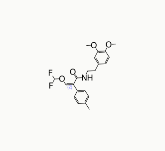 COc1ccc(CCNC(=O)/C(=C\OC(F)F)c2ccc(C)cc2)cc1OC